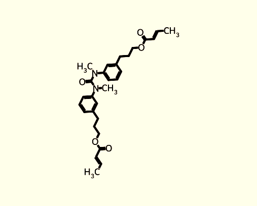 C/C=C/C(=O)OCCCc1cccc(N(C)C(=O)N(C)c2cccc(CCCOC(=O)/C=C/C)c2)c1